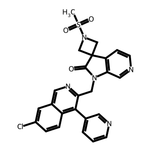 CS(=O)(=O)N1CC2(C1)C(=O)N(Cc1ncc3cc(Cl)ccc3c1-c1cccnc1)c1cnccc12